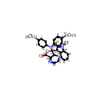 CCCCCCCCc1ccc(N(c2ccc(CCCCCCCC)cc2)C2(c3c(C)n(CC)c4ccccc34)OC(=O)c3nccnc32)cc1